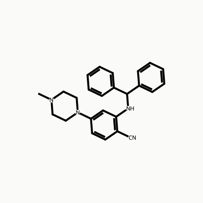 CN1CCN(c2ccc(C#N)c(NC(c3ccccc3)c3ccccc3)c2)CC1